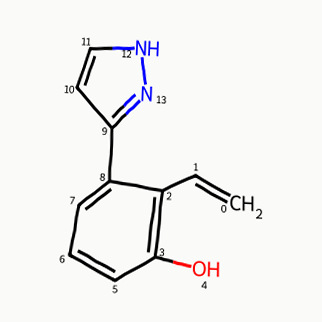 C=Cc1c(O)cccc1-c1cc[nH]n1